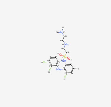 Cc1ccc(Nc2c(NS(=O)(=O)CCNCCN(C)C)ccc(F)c2F)c(F)c1